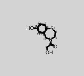 O=C(CO)N1CCSc2ccc(O)cc2C1